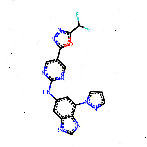 FC(F)c1nnc(-c2cnc(Nc3cc(-n4cccn4)c4nc[nH]c4c3)nc2)o1